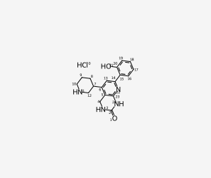 Cl.O=C1NCc2c(C3CCCNC3)cc(-c3ccccc3O)nc2N1